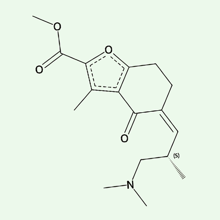 COC(=O)c1oc2c(c1C)C(=O)C(=C[C@H](C)CN(C)C)CC2